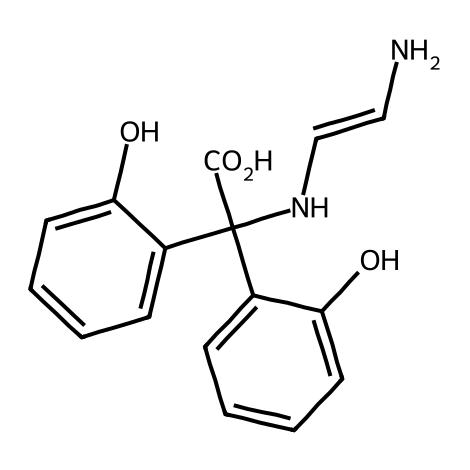 NC=CNC(C(=O)O)(c1ccccc1O)c1ccccc1O